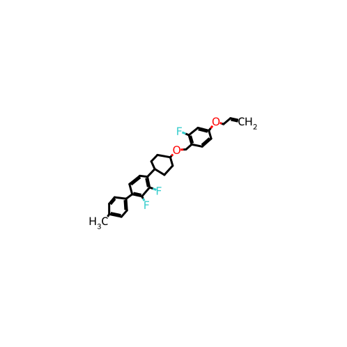 C=CCOc1ccc(COC2CCC(c3ccc(-c4ccc(C)cc4)c(F)c3F)CC2)c(F)c1